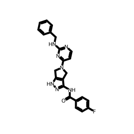 O=C(Nc1n[nH]c2c1CN(c1ccnc(NCc3ccccc3)n1)C2)c1ccc(F)cc1